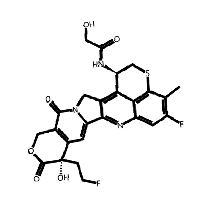 Cc1c(F)cc2nc3c(c4c2c1SC[C@@H]4NC(=O)CO)Cn1c-3cc2c(c1=O)COC(=O)[C@]2(O)CCF